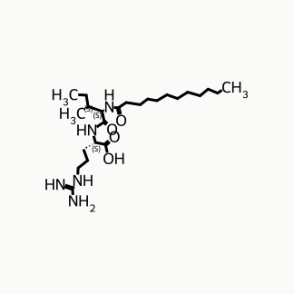 CCCCCCCCCCCC(=O)N[C@H](C(=O)N[C@@H](CCCNC(=N)N)C(=O)O)[C@@H](C)CC